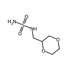 NS(=O)(=O)NCC1COCCO1